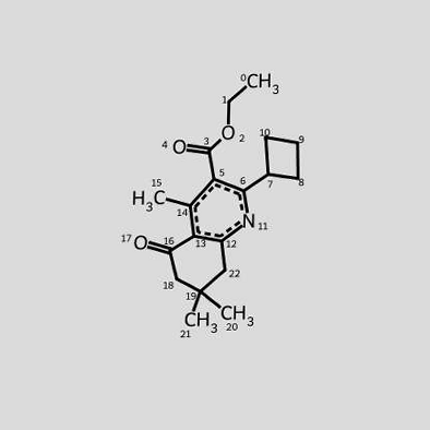 CCOC(=O)c1c(C2CCC2)nc2c(c1C)C(=O)CC(C)(C)C2